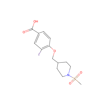 CS(=O)(=O)N1CCC(COc2ccc(C(=O)O)cc2I)CC1